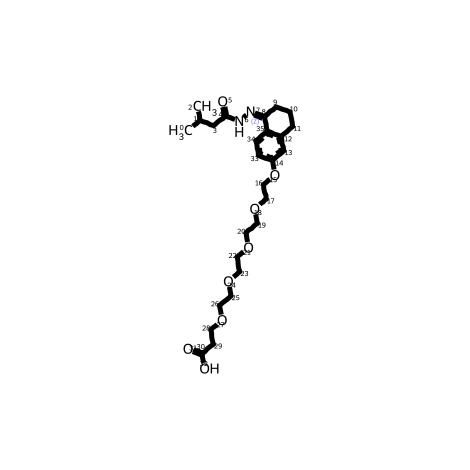 CC(C)CC(=O)N/N=C1/CCCc2cc(OCCOCCOCCOCCOCCC(=O)O)ccc21